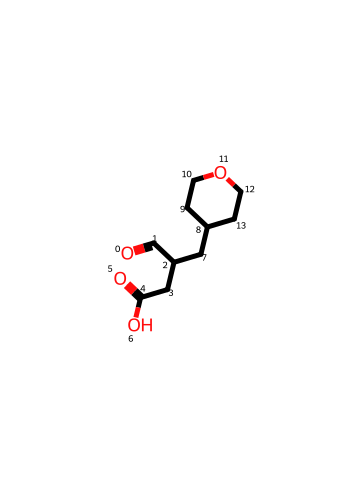 O=CC(CC(=O)O)CC1CCOCC1